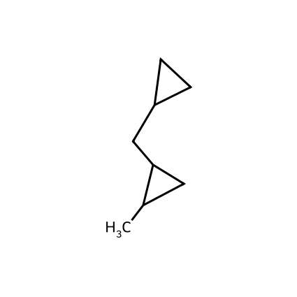 CC1CC1CC1CC1